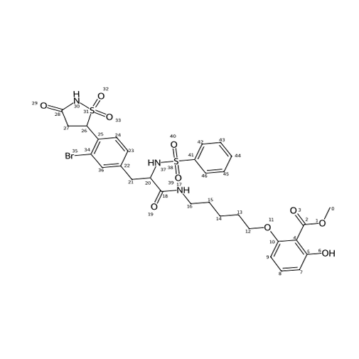 COC(=O)c1c(O)cccc1OCCCCCNC(=O)C(Cc1ccc(C2CC(=O)NS2(=O)=O)c(Br)c1)NS(=O)(=O)c1ccccc1